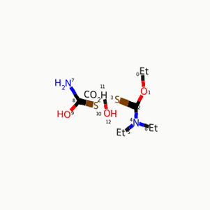 CCOC(=S)N(CC)CC.NC(O)=S.O=C(O)O